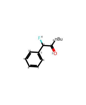 CCCCC(=O)C(F)c1ccccc1